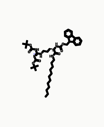 CCCCCCCCCCCCNC(=O)[C@H](CCCN/C(=N\C(=O)OC(C)(C)C)NC(=O)OC(C)(C)C)NC(=O)OCC1c2ccccc2-c2ccccc21